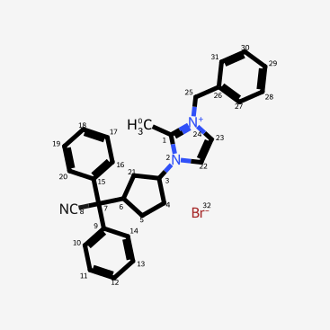 Cc1n(C2CCC(C(C#N)(c3ccccc3)c3ccccc3)C2)cc[n+]1Cc1ccccc1.[Br-]